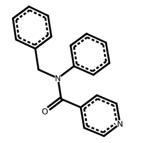 O=C(c1ccncc1)N(Cc1ccccc1)c1ccccc1